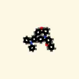 c1ccc(-n2c3ccccc3c3cc(-c4ccc5oc6cccc(-n7c8ccccc8c8c9oc%10ccccc%10c9ccc87)c6c5c4)ccc32)cc1